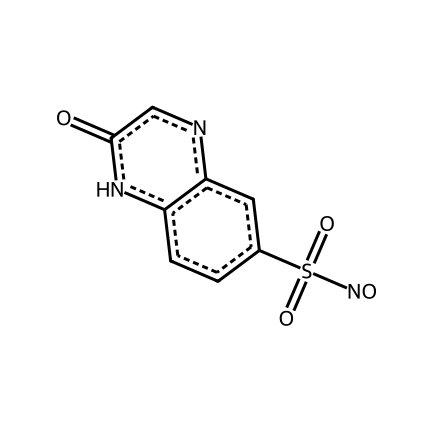 O=NS(=O)(=O)c1ccc2[nH]c(=O)cnc2c1